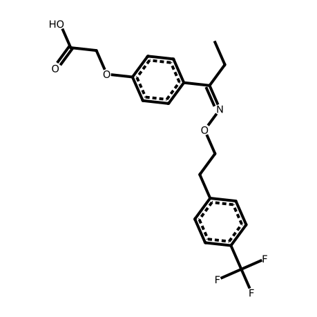 CCC(=NOCCc1ccc(C(F)(F)F)cc1)c1ccc(OCC(=O)O)cc1